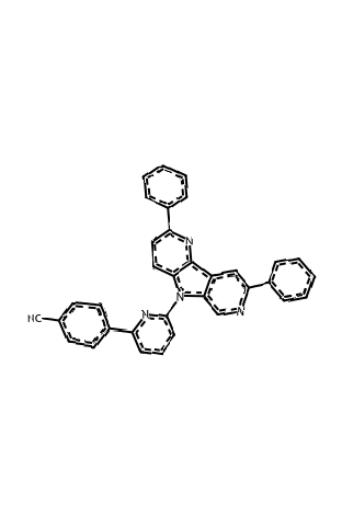 N#Cc1ccc(-c2cccc(-n3c4cnc(-c5ccccc5)cc4c4nc(-c5ccccc5)ccc43)n2)cc1